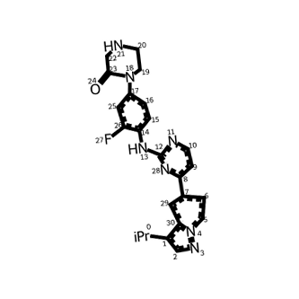 CC(C)c1cnn2ccc(-c3ccnc(Nc4ccc(N5CCNCC5=O)cc4F)n3)cc12